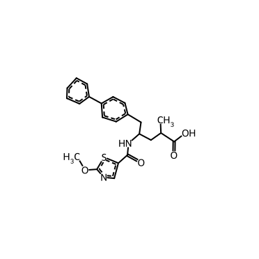 COc1ncc(C(=O)NC(Cc2ccc(-c3ccccc3)cc2)CC(C)C(=O)O)s1